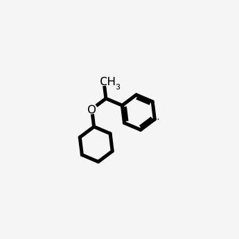 CC(OC1CCCCC1)c1cc[c]cc1